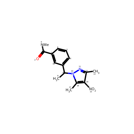 CNC(=O)c1cccc(C(C)n2nc(C)c([N+](=O)[O-])c2C)c1